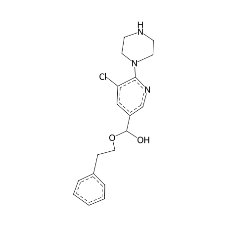 OC(OCCc1ccccc1)c1cnc(N2CCNCC2)c(Cl)c1